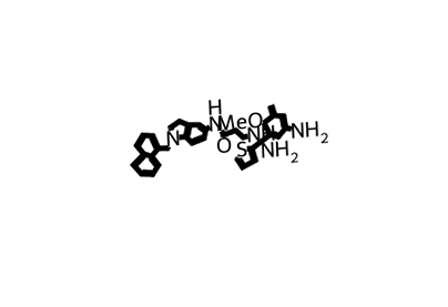 C=C1C=C(N)C=C(C(N)(NCCC(=O)Nc2ccc3c(c2)CCN3Cc2cccc3ccccc23)c2cccs2)C1OC